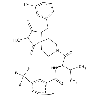 CC(C)[C@@H](NC(=O)c1cc(C(F)(F)F)ccc1F)C(=O)N1CCC2(CC1)C(=O)N(C)C(=O)C2Cc1cccc(Cl)c1